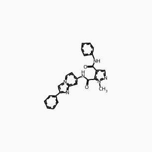 Cn1ncc(C(=O)Nc2ccccc2)c1C(=O)Nc1ccn2cc(-c3ccccc3)nc2c1